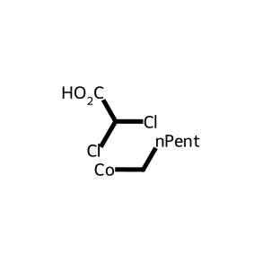 CCCCC[CH2][Co].O=C(O)C(Cl)Cl